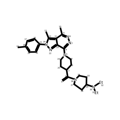 C=C(C1CCN(c2nnc(C)c3c(C)n(-c4ccc(C)cc4)nc23)CC1)N1CCC(N(CC)CC)CC1